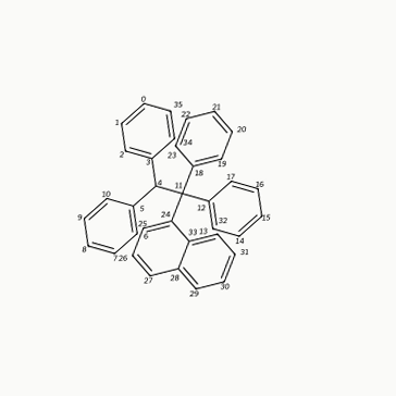 c1ccc(C(c2ccccc2)C(c2ccccc2)(c2ccccc2)c2cccc3ccccc23)cc1